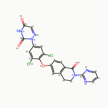 O=C1c2ccc(Oc3c(Cl)cc(-n4ncc(=O)[nH]c4=O)cc3Cl)cc2CCN1c1ncccn1